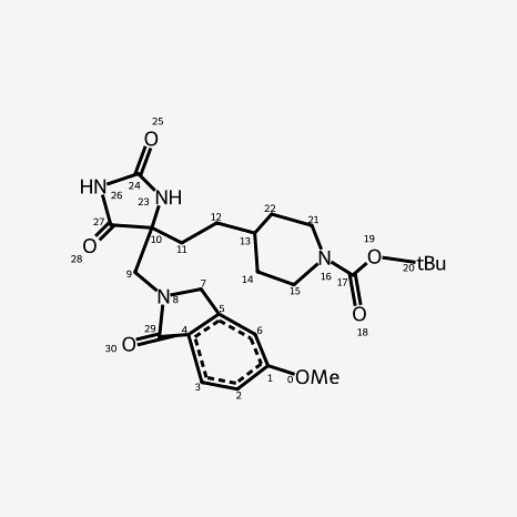 COc1ccc2c(c1)CN(CC1(CCC3CCN(C(=O)OC(C)(C)C)CC3)NC(=O)NC1=O)C2=O